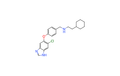 Clc1cc2[nH]cnc2cc1Oc1ccc(CNCCC2CCCCC2)cc1